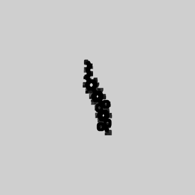 CCCCCC1CCC(c2ccc(C(=O)Oc3ccc(OC(C)=O)cc3)cc2)CC1